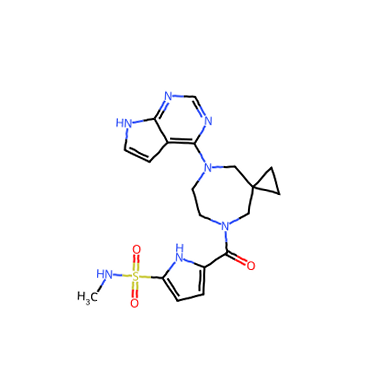 CNS(=O)(=O)c1ccc(C(=O)N2CCN(c3ncnc4[nH]ccc34)CC3(CC3)C2)[nH]1